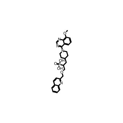 COc1cccc2c(N3CCC(CC(COCc4ccc5ccccc5n4)P(=O)(O)O)CC3)ncnc12